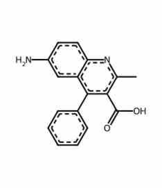 Cc1nc2ccc(N)cc2c(-c2ccccc2)c1C(=O)O